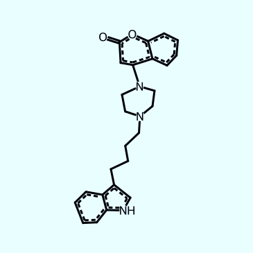 O=c1cc(N2CCN(CCCCc3c[nH]c4ccccc34)CC2)c2ccccc2o1